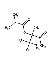 CC(=O)C(C)(OC(=O)N(C)C)C(C)(C)C